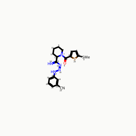 CSc1ccc(C(=O)N2CCCCC2C(=N)/N=N\Nc2cccc(C#N)c2)s1